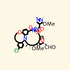 COc1nn(C)cc1C(=O)NS1(=O)=NC(=O)c2ccc3c(c2)N(Cc2ccc(Cl)cc2CCCCO3)C[C@H](C)[C@@H](C)[C@@H](OC)C[C@H]2C[C@@H](CC=O)O[C@@H]2[C@H](C)C1